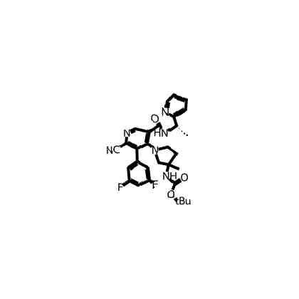 C[C@H](NC(=O)c1cnc(C#N)c(-c2cc(F)cc(F)c2)c1N1CCC(C)(NC(=O)OC(C)(C)C)C1)c1ccccn1